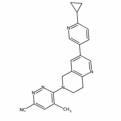 Cc1cc(C#N)nnc1N1CCc2ncc(-c3ccc(C4CC4)nc3)cc2C1